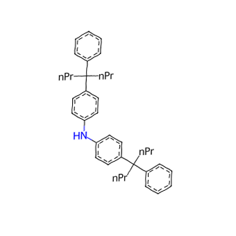 CCCC(CCC)(c1ccccc1)c1ccc(Nc2ccc(C(CCC)(CCC)c3ccccc3)cc2)cc1